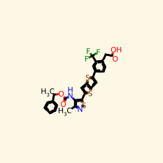 Cc1nsc(-c2cc3sc(-c4ccc(CC(=O)O)c(C(F)(F)F)c4)cc3s2)c1NC(=O)O[C@H](C)c1ccccc1